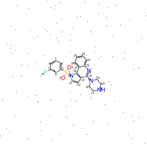 O=S(=O)(c1cccc(F)c1)n1ccc2c(N3CCNCC3)nc3ccccc3c21